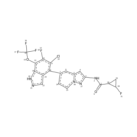 O=C(Nc1cc2cc(-c3c(Cl)c(F)c(OC(F)(F)F)c4[nH]ncc34)ccn2n1)C1CC1F